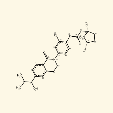 CC(C)C(O)c1ccc2c(c1)CCN(c1ccc(O[C@H]3C[C@H]4CC[C@@H](C3)N4C)c(Cl)c1)C2=O